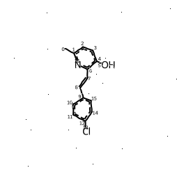 Cc1ccc(O)c(C=Cc2ccc(Cl)cc2)n1